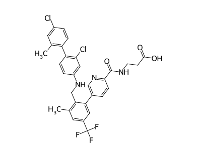 Cc1cc(Cl)ccc1-c1ccc(NCc2c(C)cc(C(F)(F)F)cc2-c2ccc(C(=O)NCCC(=O)O)nc2)cc1Cl